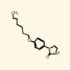 CCCCCCCOc1ccc(N2CCNC2=O)cc1